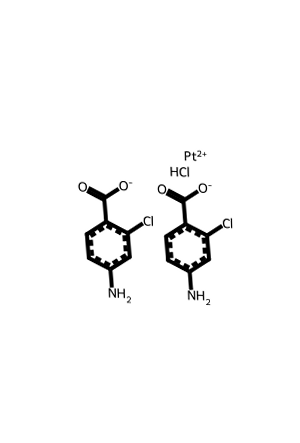 Cl.Nc1ccc(C(=O)[O-])c(Cl)c1.Nc1ccc(C(=O)[O-])c(Cl)c1.[Pt+2]